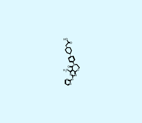 Nc1nc(Sc2ncccn2)nc2c1C(=O)N(c1ccc([C@H]3CC[C@H](CC(=O)O)CC3)cc1)CCO2